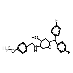 COc1ccc(CN[C@@H]2CO[C@H](C(c3ccc(F)cc3)c3ccc(F)cc3)C[C@@H]2O)cc1